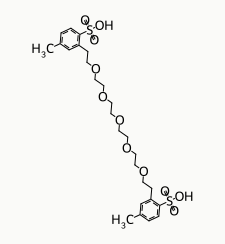 Cc1ccc(S(=O)(=O)O)c(CCOCCOCCOCCOCCOCCc2cc(C)ccc2S(=O)(=O)O)c1